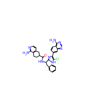 Nc1nccc2c1CCC(C(=O)NC(Cc1ccccc1)c1nc(-c3ccc4c(N)ncnc4c3)c(Cl)[nH]1)C2